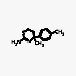 Cc1ccc(C2(C)CCSC(N)=N2)cc1